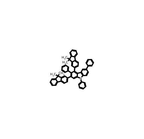 CC1(C)c2ccccc2-c2ccc(-c3cc4c(c(-c5ccc6c(c5)C(C)(C)c5ccccc5-6)c3-c3ccccc3)c3cc(-c5ccccc5)ccc3n4-c3ccccc3)cc21